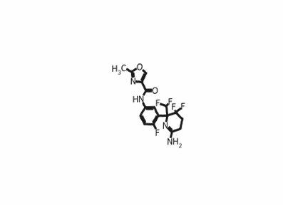 Cc1nc(C(=O)Nc2ccc(F)c(C3(C(F)F)N=C(N)CCC3(F)F)c2)co1